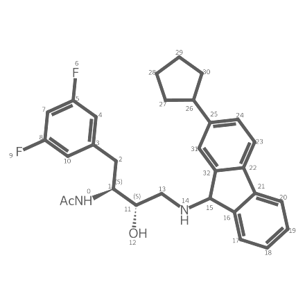 CC(=O)N[C@@H](Cc1cc(F)cc(F)c1)[C@@H](O)CNC1c2ccccc2-c2ccc(C3CCCC3)cc21